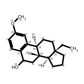 CC[C@@]12CCC[C@H]1[C@@H]1CC(O)c3c[c]c(OC)cc3[C@H]1CC2